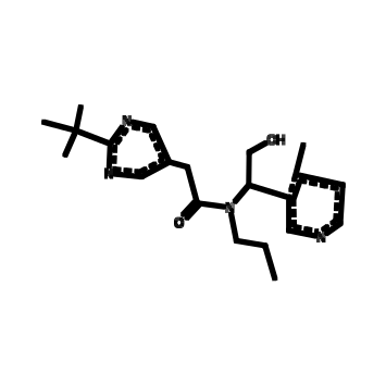 CCCN(C(=O)Cc1cnc(C(C)(C)C)nc1)C(CO)c1cnccc1C